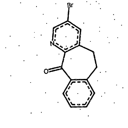 O=C1c2ccccc2CCc2cc(Br)cnc21